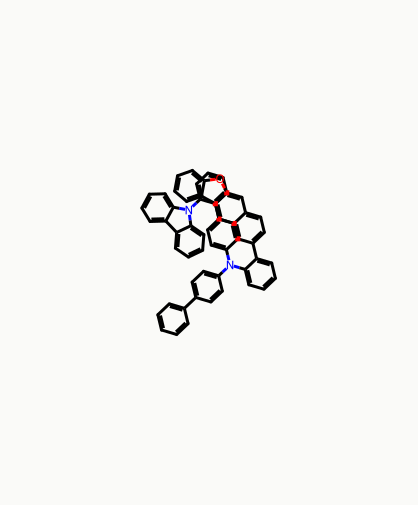 c1ccc(-c2ccc(N(c3ccc(-c4ccccc4-n4c5ccccc5c5ccccc54)cc3)c3ccccc3-c3ccc4cc5oc6ccccc6c5cc4c3)cc2)cc1